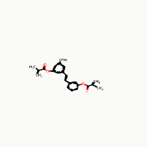 C=C(C)C(=O)Oc1cccc(/C=C/c2cc(OC)cc(OC(=O)C(=C)C)c2)c1